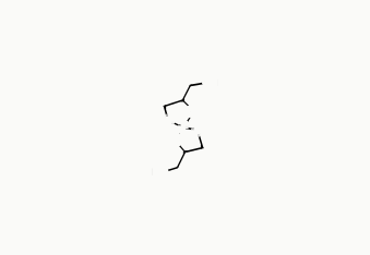 SCC1CO[B-]2(OCC(CS)O2)O1.[H+]